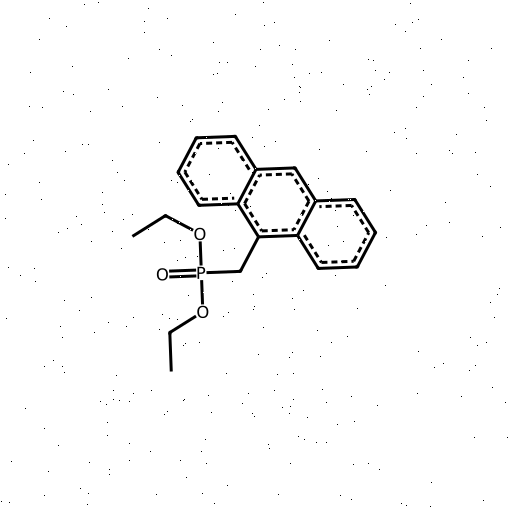 CCOP(=O)(Cc1c2ccccc2cc2ccccc12)OCC